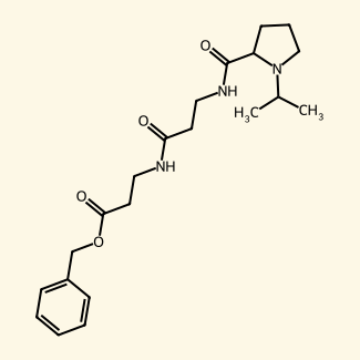 CC(C)N1CCCC1C(=O)NCCC(=O)NCCC(=O)OCc1ccccc1